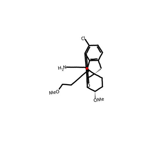 COCCN1C(=O)C2(N=C1N)c1cc(Cl)ccc1C[C@]21CC[C@@H](OC)CC1